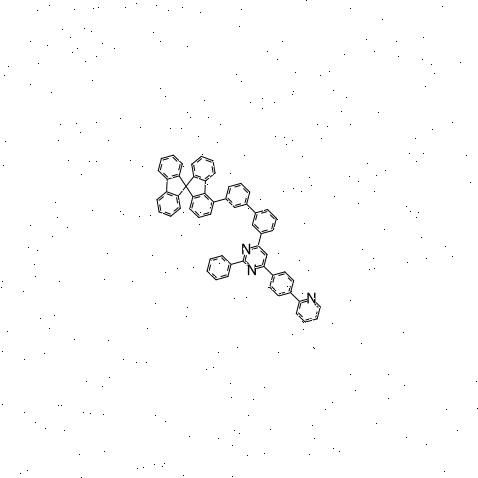 c1ccc(-c2nc(-c3ccc(-c4ccccn4)cc3)cc(-c3cccc(-c4cccc(-c5cccc6c5-c5ccccc5C65c6ccccc6-c6ccccc65)c4)c3)n2)cc1